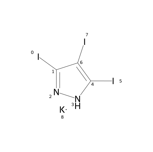 Ic1n[nH]c(I)c1I.[K]